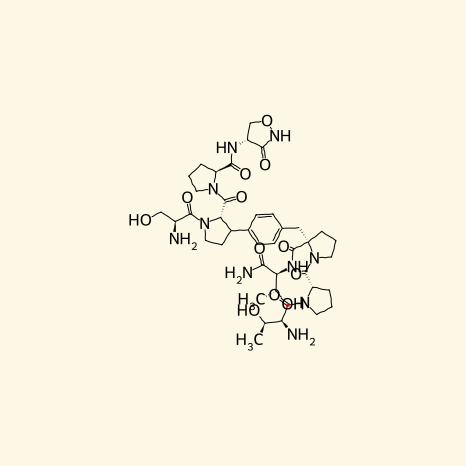 C[C@@H](O)[C@H](N)C(=O)N1CCC[C@H]1C(=O)N1CCC[C@]1(Cc1ccc(C2CCN(C(=O)[C@@H](N)CO)[C@@H]2C(=O)N2CCC[C@H]2C(=O)N[C@@H]2CONC2=O)cc1)C(=O)N[C@H](C(N)=O)[C@@H](C)O